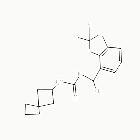 CC(NC(=O)NC1CC2(CCC2)C1)c1cccc2c1OC(F)(F)O2